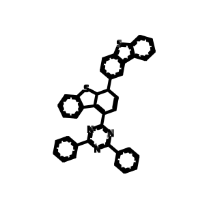 C1=CC(c2ccc3sc4ccccc4c3c2)C2Sc3ccccc3C2=C1c1nc(-c2ccccc2)nc(-c2ccccc2)n1